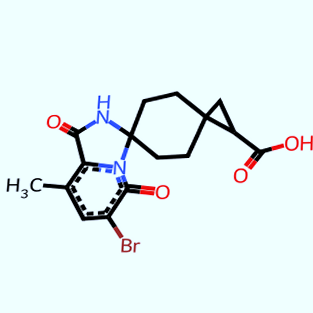 Cc1cc(Br)c(=O)n2c1C(=O)NC21CCC2(CC1)CC2C(=O)O